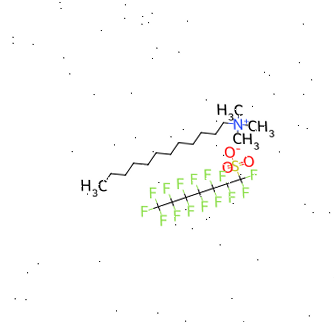 CCCCCCCCCCCC[N+](C)(C)C.O=S(=O)([O-])C(F)(F)C(F)(F)C(F)(F)C(F)(F)C(F)(F)C(F)(F)C(F)(F)F